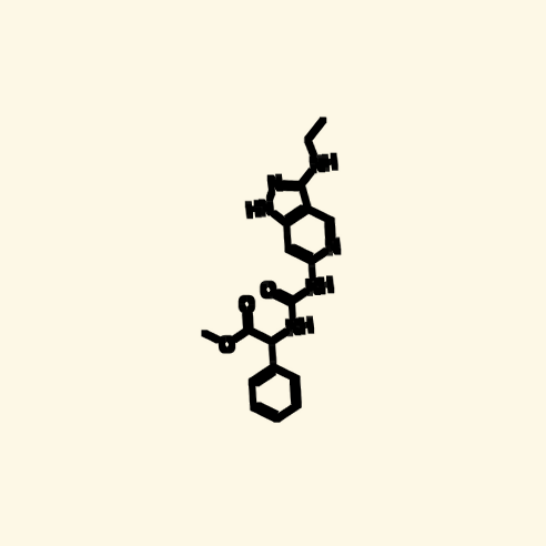 CCNc1n[nH]c2cc(NC(=O)NC(C(=O)OC)c3ccccc3)ncc12